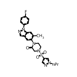 CCCn1cc(S(=O)(=O)N2CCN(c3cc4cnn(-c5ccc(F)cc5)c4cc3C)C(=O)C2)cn1